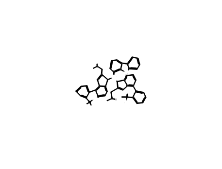 CC(C)CC1=Cc2c(-c3ccccc3C(C)(C)C)cccc2[CH]1[Hf]([c]1cccc2c1[SiH2]c1ccccc1-2)[CH]1C(CC(C)C)=Cc2c(-c3ccccc3C(C)(C)C)cccc21